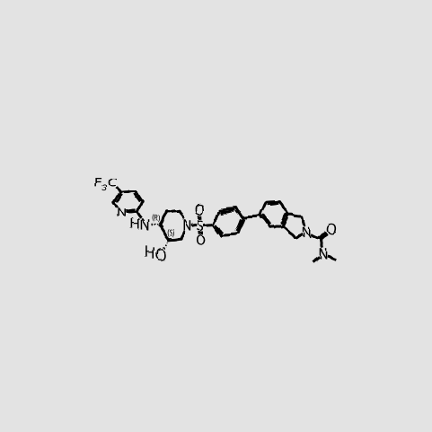 CN(C)C(=O)N1Cc2ccc(-c3ccc(S(=O)(=O)N4CC[C@@H](Nc5ccc(C(F)(F)F)cn5)[C@@H](O)C4)cc3)cc2C1